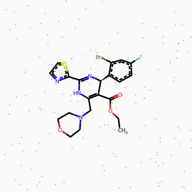 CCOC(=O)C1=C(CN2CCOCC2)NC(c2nccs2)=N[C@H]1c1ccc(F)cc1Br